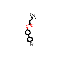 C=CCC(=O)OC1CCC(c2ccc(CC)cc2)CC1